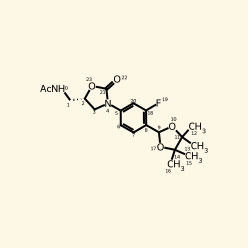 CC(=O)NC[C@H]1CN(c2ccc(C3OC(C)(C)C(C)(C)O3)c(F)c2)C(=O)O1